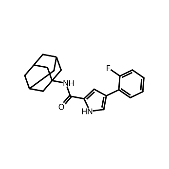 O=C(NC12CC3CC(CC(C3)C1)C2)c1cc(-c2ccccc2F)c[nH]1